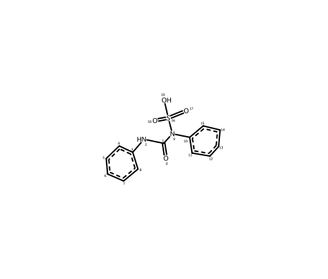 O=C(Nc1ccccc1)N(c1ccccc1)S(=O)(=O)O